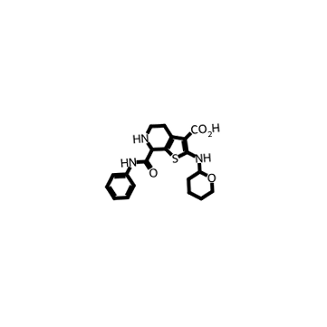 O=C(O)c1c(NC2CCCCO2)sc2c1CCNC2C(=O)Nc1ccccc1